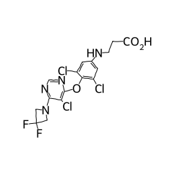 O=C(O)CCNc1cc(Cl)c(Oc2ncnc(N3CC(F)(F)C3)c2Cl)c(Cl)c1